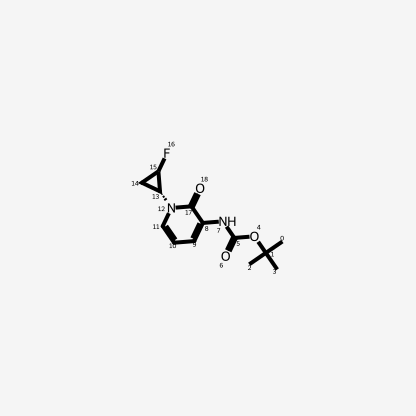 CC(C)(C)OC(=O)Nc1cccn([C@@H]2CC2F)c1=O